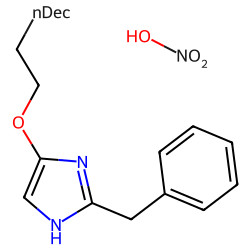 CCCCCCCCCCCCOc1c[nH]c(Cc2ccccc2)n1.O=[N+]([O-])O